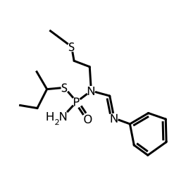 CCC(C)SP(N)(=O)N(C=Nc1ccccc1)CCSC